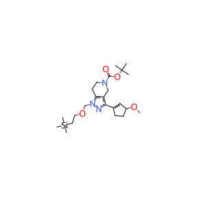 COC1C=C(c2nn(COCC[Si](C)(C)C)c3c2CN(C(=O)OC(C)(C)C)CC3)CC1